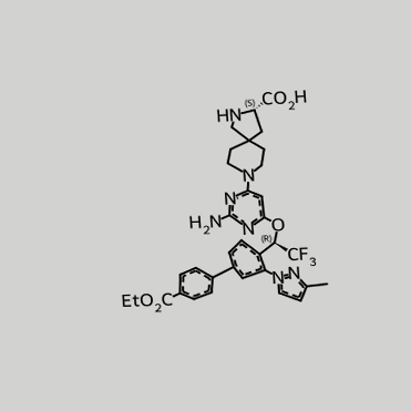 CCOC(=O)c1ccc(-c2ccc([C@@H](Oc3cc(N4CCC5(CC4)CN[C@H](C(=O)O)C5)nc(N)n3)C(F)(F)F)c(-n3ccc(C)n3)c2)cc1